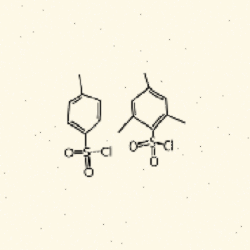 Cc1cc(C)c(S(=O)(=O)Cl)c(C)c1.Cc1ccc(S(=O)(=O)Cl)cc1